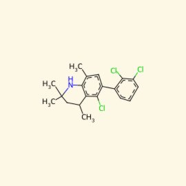 Cc1cc(-c2cccc(Cl)c2Cl)c(Cl)c2c1NC(C)(C)CC2C